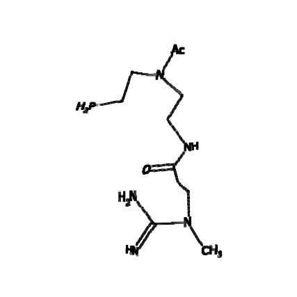 CC(=O)N(CCP)CCNC(=O)CN(C)C(=N)N